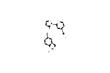 Cn1ncc2cc(COc3ccnn3-c3cc(C#N)ccn3)ccc21